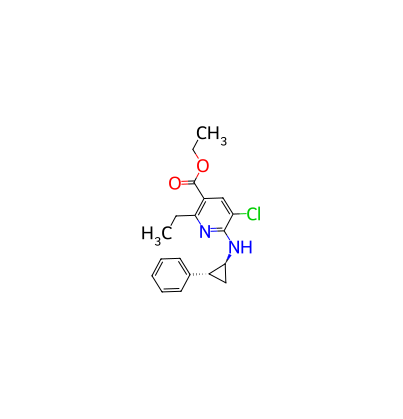 CCOC(=O)c1cc(Cl)c(N[C@H]2C[C@@H]2c2ccccc2)nc1CC